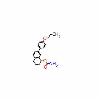 CCCOc1ccc(-c2ccc3c(c2)C(OC(N)=O)CCC3)cc1